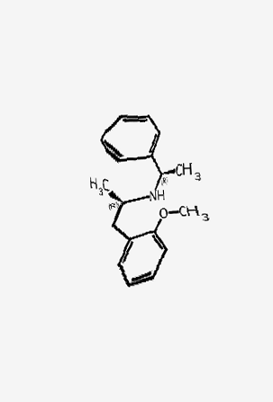 COc1ccccc1C[C@@H](C)N[C@H](C)c1ccccc1